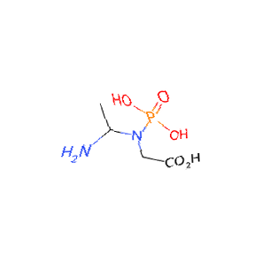 CC(N)N(CC(=O)O)P(=O)(O)O